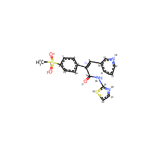 CS(=O)(=O)c1ccc(/C(=C/c2cccnc2)C(=O)Nc2nccs2)cc1